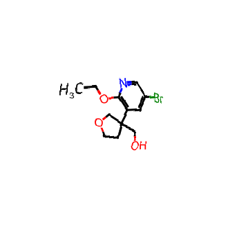 CCOc1ncc(Br)cc1C1(CO)CCOC1